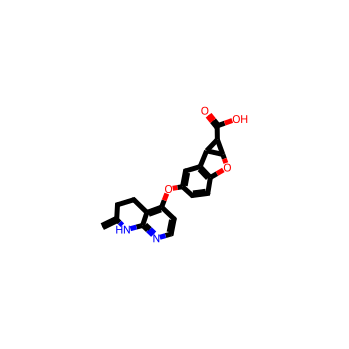 C=C1CCc2c(Oc3ccc4c(c3)C3C(O4)C3C(=O)O)ccnc2N1